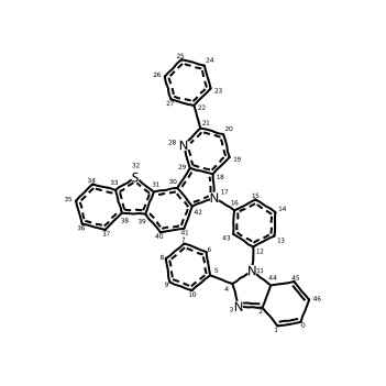 C1=CC2=NC(c3ccccc3)N(c3cccc(-n4c5ccc(-c6ccccc6)nc5c5c6sc7ccccc7c6ccc54)c3)C2C=C1